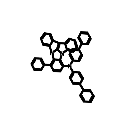 c1ccc(-c2ccc(N(c3ccc(-c4ccccc4)cc3)c3ccc(-c4ccccc4)c4c3n3c5ccccc5c5c6ccccc6n4c53)cc2)cc1